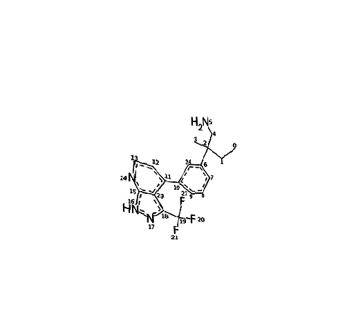 CCC(C)(CN)c1cccc(-c2ccnc3[nH]nc(C(F)(F)F)c23)c1